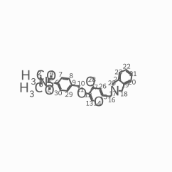 CN(C)S(=O)(=O)c1ccc(COc2coc(CN3Cc4ccccc4C3)cc2=O)cc1